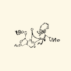 COC(=N[C@]1(SC)C(=O)N2C(C(=O)OC(C)(C)C)=C(COC(C)=O)CS[C@@H]21)c1ccccc1